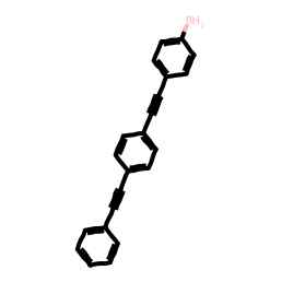 Bc1ccc(C#Cc2ccc(C#Cc3ccccc3)cc2)cc1